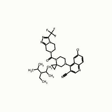 CCN(C(C)C)C(C)C.N#Cc1cnc2ccc(Cl)cc2c1N1CCN(C(=O)N2CCn3c(nnc3C(F)(F)F)C2)C2(CC2)C1